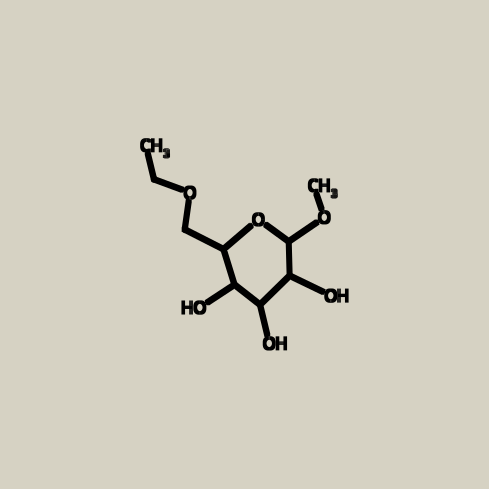 CCOCC1OC(OC)C(O)C(O)C1O